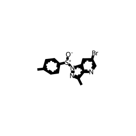 Cc1ccc([S+]([O-])n2nc(C)c3ncc(Br)cc32)cc1